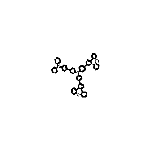 c1ccc(N(c2ccccc2)c2ccc(-c3ccc(N(c4ccc(-c5ccc6c(c5)-c5ccccc5Oc5ccccc5-6)cc4)c4ccc(-c5ccc6c(c5)-c5ccccc5Oc5ccccc5-6)cc4)cc3)cc2)cc1